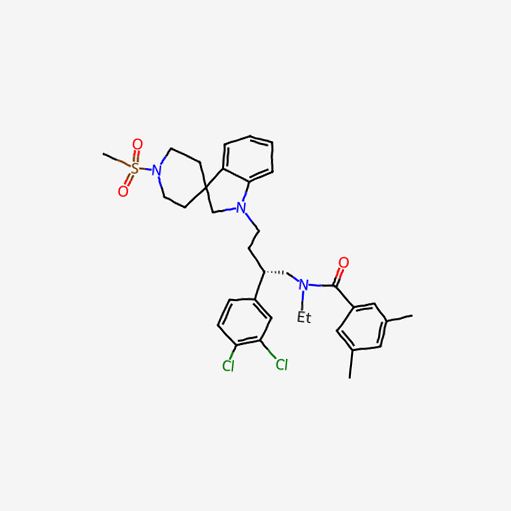 CCN(C[C@@H](CCN1CC2(CCN(S(C)(=O)=O)CC2)c2ccccc21)c1ccc(Cl)c(Cl)c1)C(=O)c1cc(C)cc(C)c1